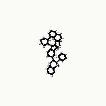 c1ccc(-c2nc3ccccc3nc2-c2ccc3c(c2)c2oc4ccc5cccc6c7ccccc7n3c2c4c56)cc1